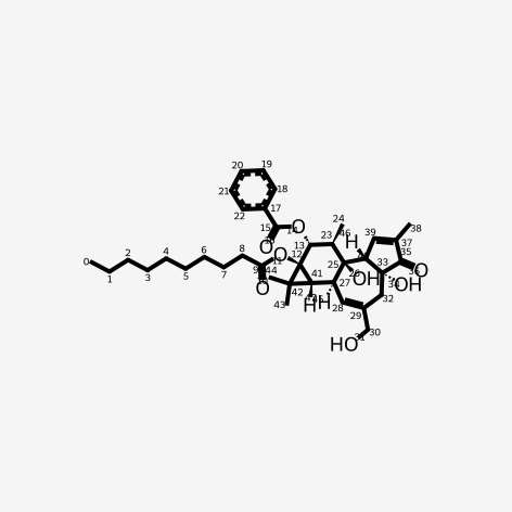 CCCCCCCCCC(=O)O[C@@]12[C@H](OC(=O)c3ccccc3)[C@@H](C)[C@@]3(O)[C@@H](C=C(CO)C[C@]4(O)C(=O)C(C)=C[C@@H]34)[C@@H]1C2(C)C